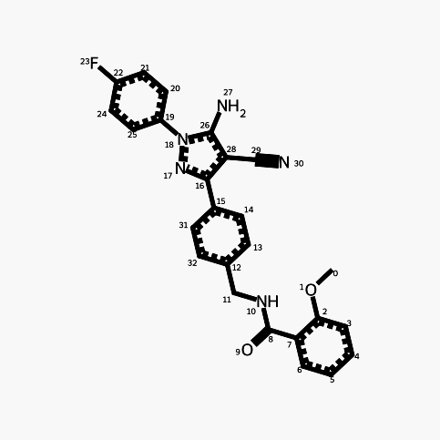 COc1ccccc1C(=O)NCc1ccc(-c2nn(-c3ccc(F)cc3)c(N)c2C#N)cc1